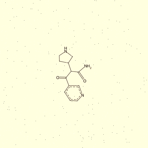 NC(=O)C(C(=O)c1cccnc1)C1CCNC1